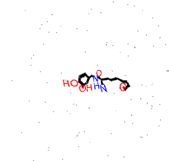 N#C/C(=C\C=C\c1ccco1)C(=O)NCc1ccc(O)c(O)c1